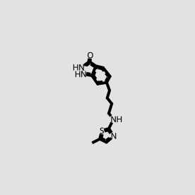 Cc1cnc(NCCCCc2ccc3c(=O)[nH][nH]c3c2)s1